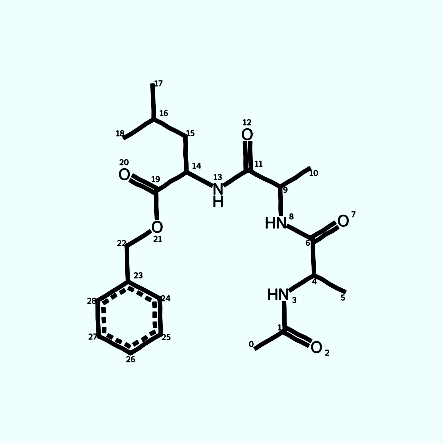 CC(=O)NC(C)C(=O)NC(C)C(=O)NC(CC(C)C)C(=O)OCc1ccccc1